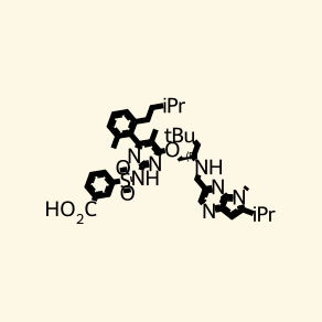 Cc1cccc(CCC(C)C)c1-c1nc(NS(=O)(=O)c2cccc(C(=O)O)c2)nc(OC[C@@H](CC(C)(C)C)NCc2cnc3cc(C(C)C)n(C)c3n2)c1C